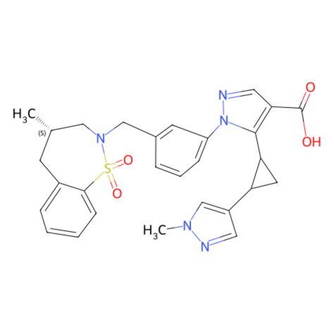 C[C@H]1Cc2ccccc2S(=O)(=O)N(Cc2cccc(-n3ncc(C(=O)O)c3C3CC3c3cnn(C)c3)c2)C1